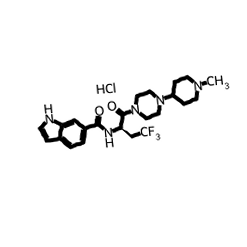 CN1CCC(N2CCN(C(=O)[C@@H](CC(F)(F)F)NC(=O)c3ccc4cc[nH]c4c3)CC2)CC1.Cl